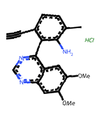 C#Cc1ccc(C)c(N)c1-c1ncnc2cc(OC)c(OC)cc12.Cl